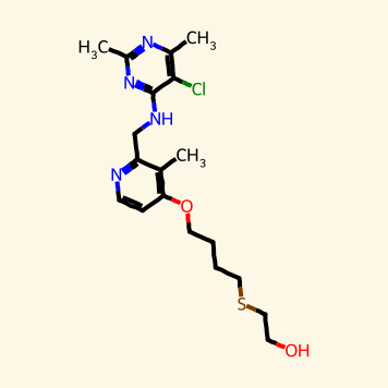 Cc1nc(C)c(Cl)c(NCc2nccc(OCCCCSCCO)c2C)n1